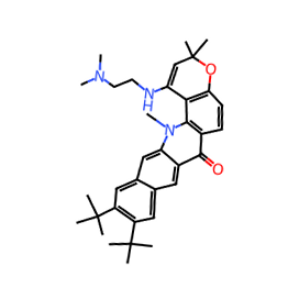 CN(C)CCNC1=CC(C)(C)Oc2ccc3c(=O)c4cc5cc(C(C)(C)C)c(C(C)(C)C)cc5cc4n(C)c3c21